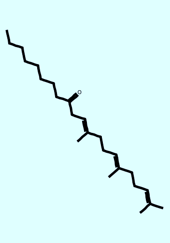 CCCCCCCCC(=O)C/C=C(\C)CC/C=C(\C)CCC=C(C)C